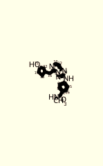 CNC(=O)c1ccc(Nc2nc3ccnc(CC4CCC(O)C4)n3n2)cc1